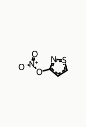 O=[N+]([O-])Oc1ccsn1